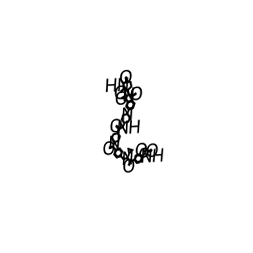 O=C1CCC(N2C(=O)c3ccc(N4CCC(NC(=O)C5CCN(C(=O)c6ccc(CN(C(=O)c7ccc8c(c7)OCC(=O)N8)C7CC7)cc6)CC5)CC4)cc3C2=O)C(=O)N1